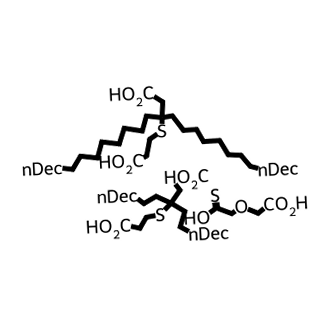 CCCCCCCCCCCCC(CCCCCCCCCCCC)(CC(=O)O)SCCC(=O)O.CCCCCCCCCCCCCCCCCCC(CCCCCCCCCCCCCCCCCC)(CC(=O)O)SCCC(=O)O.O=C(O)COCC(O)=S